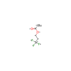 CC(C)(C)C(=O)OCC[Si](F)(F)F